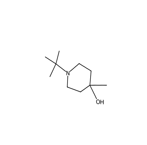 CC1(O)CCN(C(C)(C)C)CC1